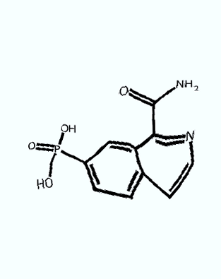 NC(=O)c1nccc2ccc(P(=O)(O)O)cc12